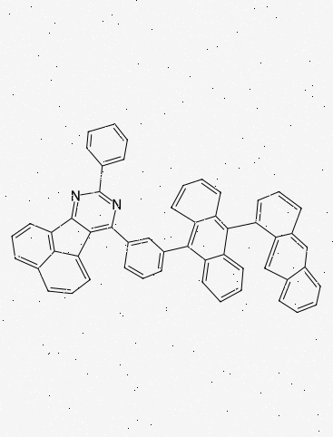 c1ccc(-c2nc(-c3cccc(-c4c5ccccc5c(-c5cccc6cc7ccccc7cc56)c5ccccc45)c3)c3c(n2)-c2cccc4cccc-3c24)cc1